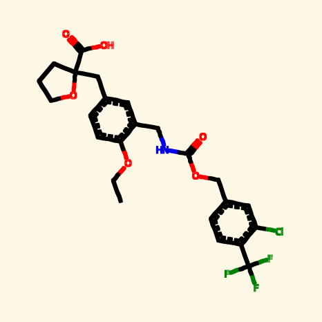 CCOc1ccc(CC2(C(=O)O)CCCO2)cc1CNC(=O)OCc1ccc(C(F)(F)F)c(Cl)c1